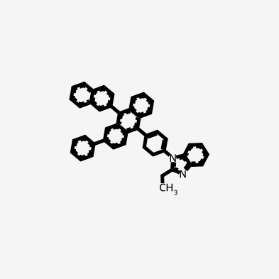 CCc1nc2ccccc2n1C1=CC=C(c2c3ccccc3c(-c3ccc4ccccc4c3)c3cc(-c4ccccc4)ccc23)CC1